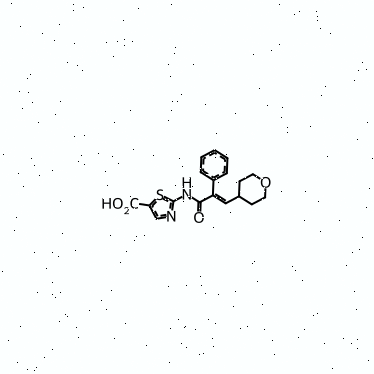 O=C(Nc1ncc(C(=O)O)s1)C(=CC1CCOCC1)c1ccccc1